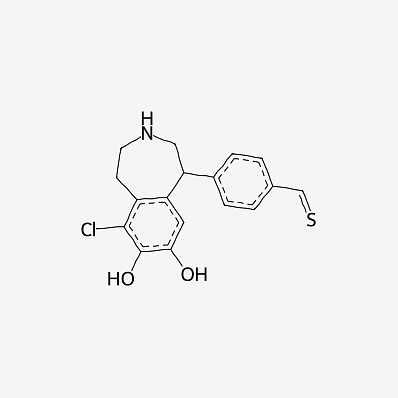 Oc1cc2c(c(Cl)c1O)CCNCC2c1ccc(C=S)cc1